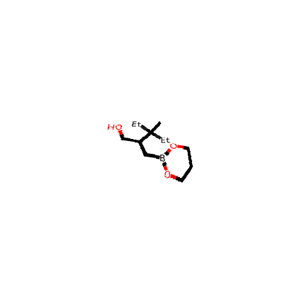 CCC(C)(CC)C(CO)CB1OCCCO1